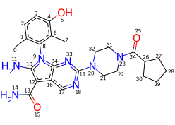 Cc1ccc(O)c(C)c1-n1c(N)c(C(N)=O)c2cnc(N3CCN(C(=O)C4CCCC4)CC3)nc21